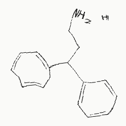 I.NCCC(c1ccccc1)c1ccccc1